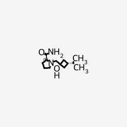 CC(C)[C@H]1C[C@@](O)(CN2CCC[C@H]2C(N)=O)C1